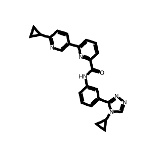 O=C(Nc1cccc(-c2nncn2C2CC2)c1)c1cccc(-c2ccc(C3CC3)nc2)n1